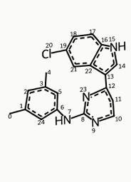 Cc1cc(C)cc(Nc2nccc(-c3c[nH]c4ccc(Cl)cc34)n2)c1